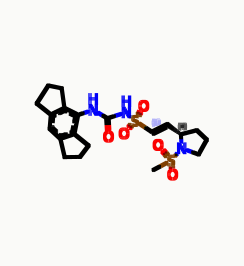 CS(=O)(=O)N1CCC[C@@H]1/C=C/S(=O)(=O)NC(=O)Nc1c2c(cc3c1CCC3)CCC2